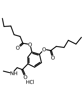 CCCCCC(=O)Oc1ccc(C(=O)CNC)cc1OC(=O)CCCCC.Cl